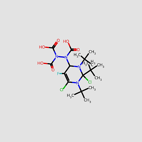 CC(C)(C)N1C(Cl)=C(F)C(N(C(=O)O)N(C(=O)O)C(=O)O)N(C(C)(C)C)C1(Cl)C(C)(C)C